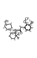 CC(C)N1CCN([C@H]2CCCC(F)(F)[C@@H]2NC(=O)Cc2cccc(Br)c2OC(F)(F)F)CC1